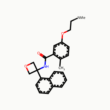 CNCCOc1ccc(C)c(C(=O)NC2(c3cccc4ccccc34)COC2)c1